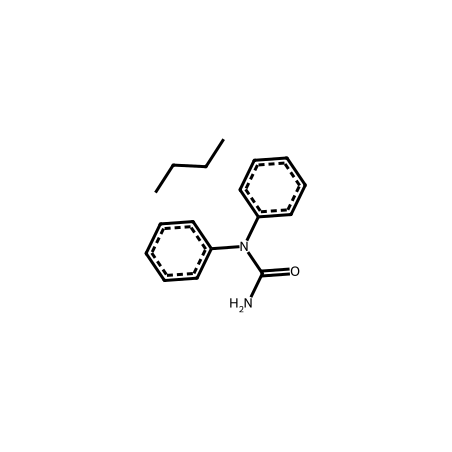 CCCC.NC(=O)N(c1ccccc1)c1ccccc1